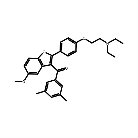 CCN(CC)CCOc1ccc(-c2oc3ccc(OC)cc3c2C(=O)c2cc(C)cc(C)c2)cc1